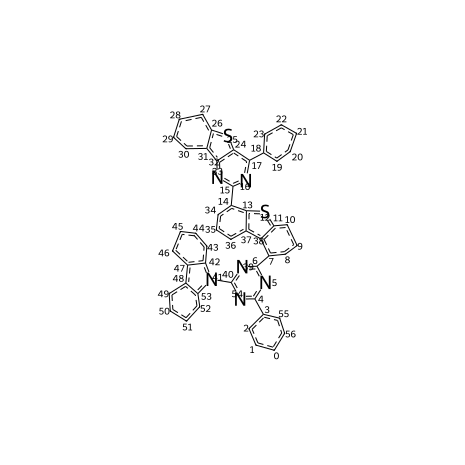 c1ccc(-c2nc(-c3cccc4sc5c(-c6nc(-c7ccccc7)c7sc8ccccc8c7n6)cccc5c34)nc(-n3c4ccccc4c4ccccc43)n2)cc1